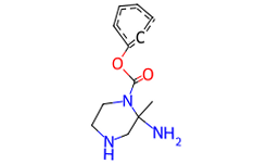 CC1(N)CNCCN1C(=O)Oc1ccccc1